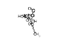 CCCCCCCOC(=O)C(O)CN(Cc1ccc(-c2cccc(Cl)c2)cc1)NC(=O)c1cc(O)no1